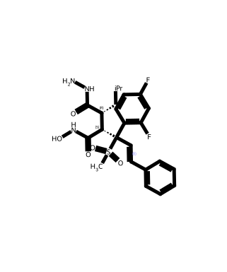 CC(C)C[C@@H](C(=O)NN)[C@@H](C(=O)NO)C(/C=C/c1ccccc1)(c1ccc(F)cc1F)S(C)(=O)=O